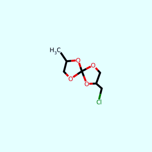 CC1COC2(OCC(CCl)O2)O1